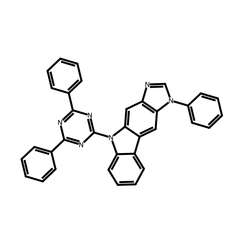 c1ccc(-c2nc(-c3ccccc3)nc(-n3c4ccccc4c4cc5c(cc43)ncn5-c3ccccc3)n2)cc1